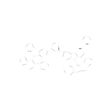 c1ccc(-c2ccc3c(c2)c2cc(-c4cccc(-c5ccc6c(c5)c5ccccc5n6-c5c6ccccc6nc6oc7ccccc7c56)c4)ccc2n3-c2c3ccccc3nc3oc4ccccc4c23)cc1